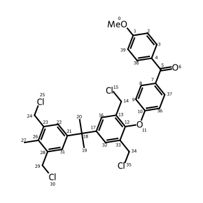 COc1ccc(C(=O)c2ccc(Oc3c(CCl)cc(C(C)(C)c4cc(CCl)c(C)c(CCl)c4)cc3CCl)cc2)cc1